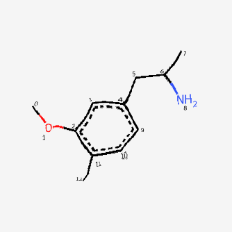 COc1cc(CC(C)N)ccc1C